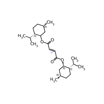 CC(C)[C@@H]1CC[C@@H](C)CC1OC(=O)/C=C/C(=O)O[C@@H]1C[C@H](C)CC[C@H]1C(C)C